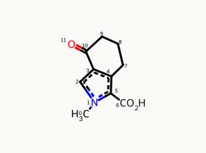 Cn1cc2c(c1C(=O)O)CCCC2=O